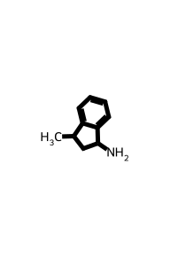 CC1CC(N)c2ccccc21